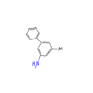 CC(=O)c1cc(N)cc(-c2ccccc2)c1